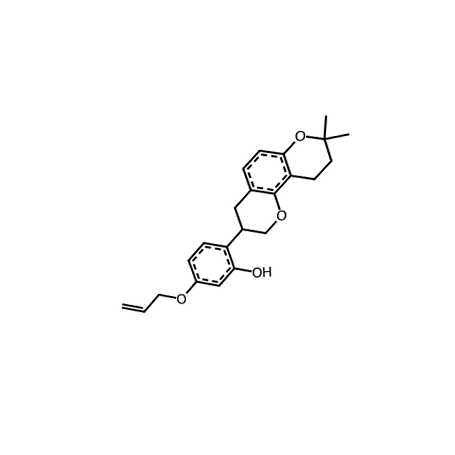 C=CCOc1ccc(C2COc3c(ccc4c3CCC(C)(C)O4)C2)c(O)c1